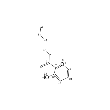 C=C(CCCCC)c1[o+]cccc1O